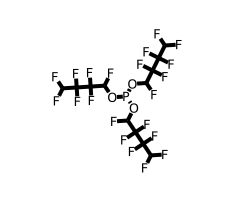 FC(F)C(F)(F)C(F)(F)C(F)OP(OC(F)C(F)(F)C(F)(F)C(F)F)OC(F)C(F)(F)C(F)(F)C(F)F